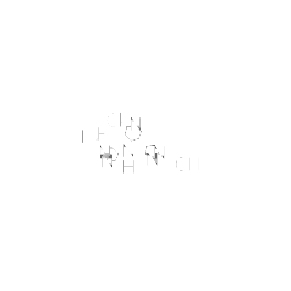 CCCn1cc(-c2cnc(Cl)cc2Nc2cnn(CC(F)F)c2)cn1